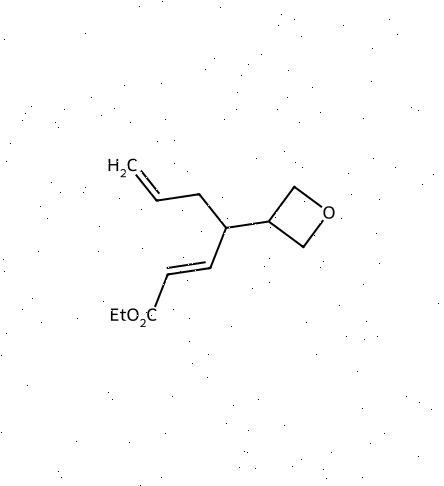 C=CCC(/C=C/C(=O)OCC)C1COC1